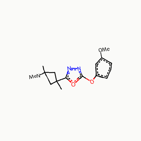 CNC1(C)CC(C)(c2nnc(Oc3cccc(OC)c3)o2)C1